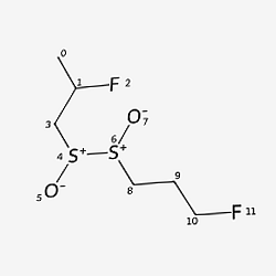 CC(F)C[S+]([O-])[S+]([O-])CCCF